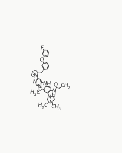 C=CC(=O)Nc1cc(Nc2cc(N3OCC[C@@H]3Cc3cccc(Oc4cccc(F)c4)c3)ncn2)c(OC)cc1N1CCN(C)[C@@H](C)C1